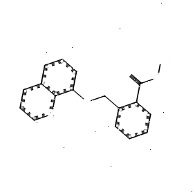 COC(=O)c1ccccc1CSc1cccc2cccnc12